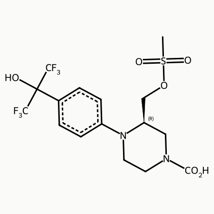 CS(=O)(=O)OC[C@H]1CN(C(=O)O)CCN1c1ccc(C(O)(C(F)(F)F)C(F)(F)F)cc1